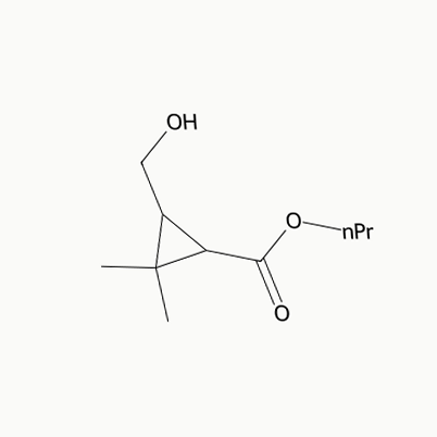 CCCOC(=O)C1C(CO)C1(C)C